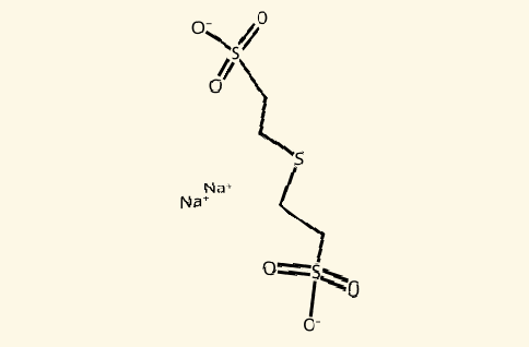 O=S(=O)([O-])CCSCCS(=O)(=O)[O-].[Na+].[Na+]